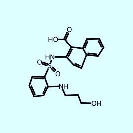 O=C(O)c1c(NS(=O)(=O)c2ccccc2NCCCO)ccc2ccccc12